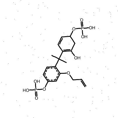 C=CCOc1cc(OP(=O)(O)O)ccc1C(C)(C)C1=C(O)CC(OP(=O)(O)O)C=C1